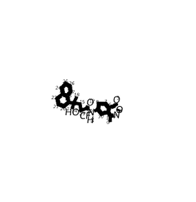 Cc1noc(=O)c2ccc(NC(=O)C(O)(CC(C)(C)c3cccc4ccccc34)C(F)(F)F)cc12